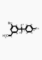 C=Cc1cc(Br)cc(C(F)(F)c2ccc(F)cc2)c1